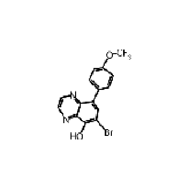 Oc1c(Br)cc(-c2ccc(OC(F)(F)F)cc2)c2nccnc12